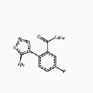 CCCc1nncn1-c1ccc(F)cc1C(=O)OC